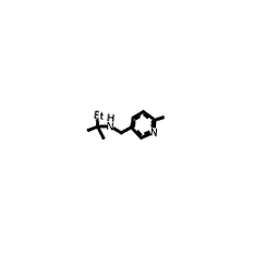 CCC(C)(C)NCc1ccc(C)nc1